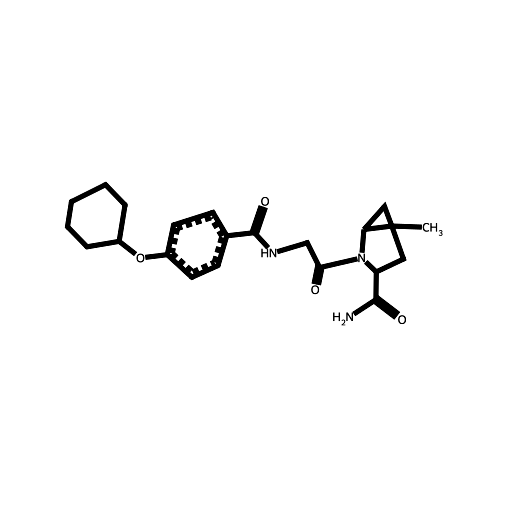 CC12CC(C(N)=O)N(C(=O)CNC(=O)c3ccc(OC4CCCCC4)cc3)C1C2